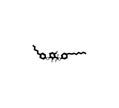 CCCCCCCCc1ccc(OC(F)(F)c2c(F)c[c]c(Oc3ccc(CCCCC)cc3)c2F)cc1